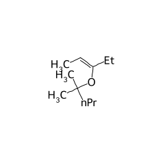 CC=C(CC)OC(C)(C)CCC